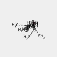 CCCCCCCCCCCC(=O)O[C@H](CCCCCCCCCCC)CC(=O)NC1C(OCC2OC(OCCOP(=O)(O)OCCN)C(NC(=O)C[C@H](O)CCCCCCCCCCC)C(O)C2O)OC(CO)C(OP(=O)(O)O)C1O